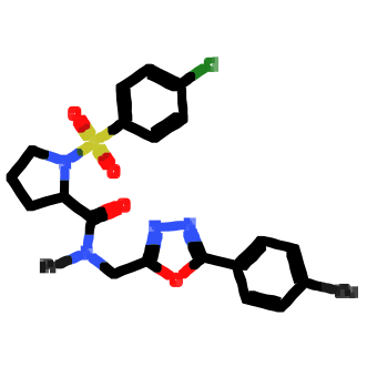 CC(C)N(Cc1nnc(-c2ccc(C(C)(C)C)cc2)o1)C(=O)C1CCCN1S(=O)(=O)c1ccc(Cl)cc1